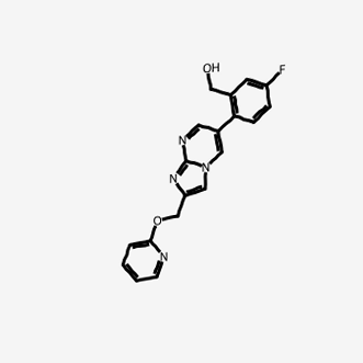 OCc1cc(F)ccc1-c1cnc2nc(COc3ccccn3)cn2c1